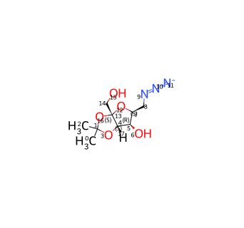 CC1(C)O[C@H]2[C@H](O)[C@H](CN=[N+]=[N-])O[C@@]2(CO)O1